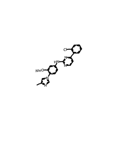 COc1cc(Nc2nccc(-c3ccccc3Cl)n2)ccc1-n1cnc(C)c1